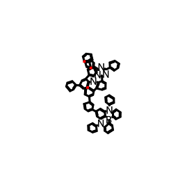 c1ccc(-c2ccc3c(c2)c2cc(-c4ccccc4)ccc2n3-c2c(-c3cccc(-c4cccc(-c5cc6c7c(c5)N(c5ccccc5)c5ccccc5B7c5ccccc5N6c5ccccc5)c4)c3)cccc2-c2nc(-c3ccccc3)nc(-c3ccccc3)n2)cc1